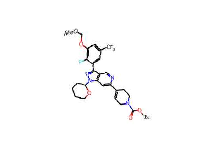 COCOc1cc(C(F)(F)F)cc(-c2nn(C3CCCCO3)c3cc(C4=CCN(C(=O)OC(C)(C)C)CC4)ncc23)c1F